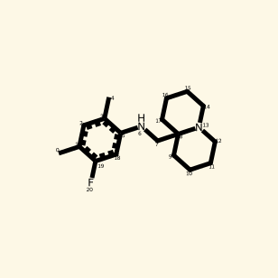 Cc1cc(C)c(NCC23CCCCN2CCCC3)cc1F